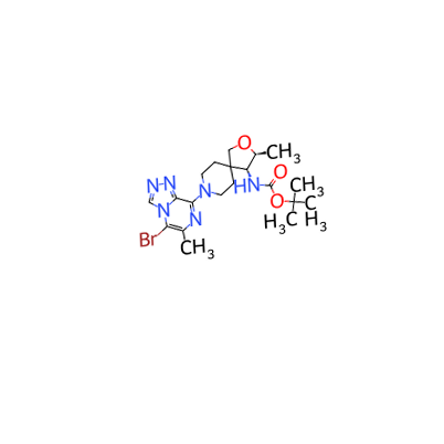 Cc1nc(N2CCC3(CC2)CO[C@@H](C)[C@H]3NC(=O)OC(C)(C)C)c2nncn2c1Br